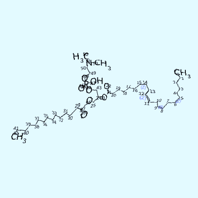 CCCCC/C=C\C/C=C\C/C=C\C/C=C\CCCCCC(=O)OC(COC(=O)CCCCCCCCCCCCCC)COP(=O)(O)OCCN(C)C